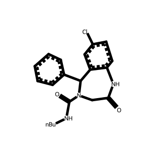 CCCCNC(=O)N1CC(=O)Nc2ccc(Cl)cc2C1c1ccccc1